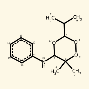 CC(C)C1OOC(C)(C)C(Nc2ccccc2)O1